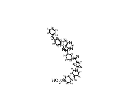 Nc1ncnc2c1c(-c1ccc(Oc3ccccc3)cc1)nn2[C@@H]1CCCN(C(=O)c2cnc(N3CCC(CN4CCN(C(=O)O)CC4)CC3)o2)C1